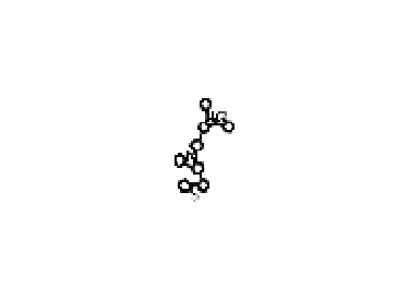 c1ccc(-n2c3ccc(-c4ccc(-n5c6ccccc6c6cc(-c7cccc8sc9ccccc9c78)ccc65)cc4)cc3c3c4ccccc4oc32)cc1